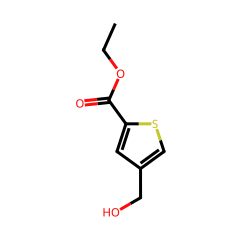 CCOC(=O)c1cc(CO)cs1